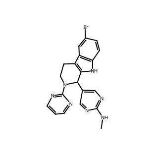 CNc1ncc(C2c3[nH]c4ccc(Br)cc4c3CCN2c2ncccn2)cn1